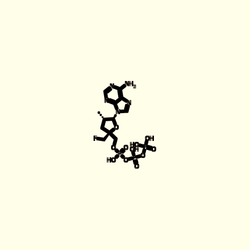 C[C@H]1C[C@@](CF)(COP(=O)(O)OP(=O)(O)OP(=O)(O)O)O[C@H]1n1cnc2c(N)ncnc21